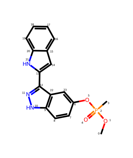 COP(C)(=O)Oc1ccc2[nH]nc(-c3cc4ccccc4[nH]3)c2c1